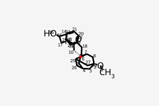 CO[C@]12CC3CCC(C1)[C@](CC(=O)N1CC(O)C1)(Cc1ccccc1)C(C3)C2